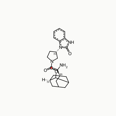 NC(=O)[C@]12CC3CC(C1)C(OC(=O)N1CC[C@H](n4c(=O)[nH]c5ccccc54)C1)[C@@H](C3)C2